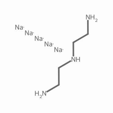 NCCNCCN.[Na].[Na].[Na].[Na].[Na]